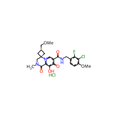 COC[C@H]1C[C@@]2(CN(C)C(=O)c3c(O)c(=O)c(C(=O)NCc4ccc(OC)c(Cl)c4F)cn32)C1.Cl